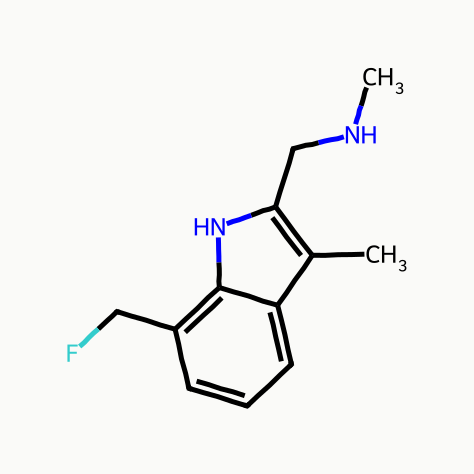 CNCc1[nH]c2c(CF)cccc2c1C